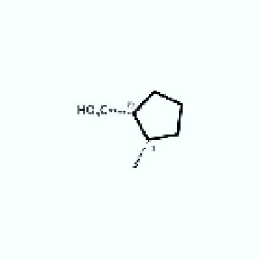 C[C@H]1CCC[C@H]1C(=O)O